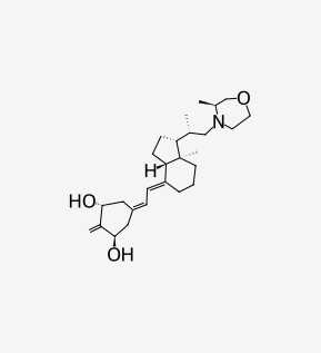 C=C1[C@H](O)CC(=C/C=C2\CCC[C@]3(C)[C@@H]([C@H](C)CN4CCOC[C@@H]4C)CC[C@@H]23)C[C@H]1O